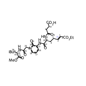 CCOC(=O)/C=C/CC[C@H](NC(=O)CCC(=O)O)C(=O)Nc1cccn(CC(=O)N[C@H](C(=O)OC)[C@H](C)CC)c1=O